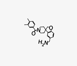 Cc1ccc(C(=O)N2CCC3(CC2)COc2ccc(CN)cc23)cc1C